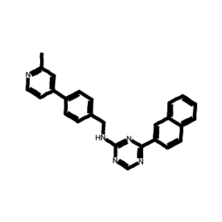 Cc1cc(-c2ccc(CNc3ncnc(-c4ccc5ccccc5c4)n3)cc2)ccn1